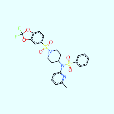 Cc1cccc(N(C2CCN(S(=O)(=O)c3ccc4c(c3)OC(F)(F)O4)CC2)S(=O)(=O)c2ccccc2)n1